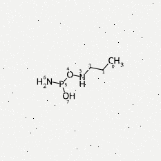 CCCNOP(N)O